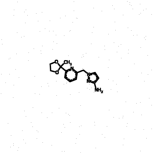 CC1(c2cccc(Cn3ccc(N)n3)n2)OCCO1